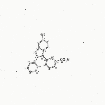 CCc1ccc2c(c1)cc(-c1ccccc1)n2-c1cccc(C(=O)O)c1